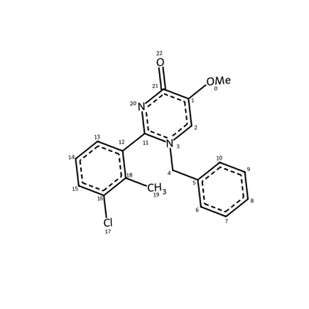 COc1cn(Cc2ccccc2)c(-c2cccc(Cl)c2C)nc1=O